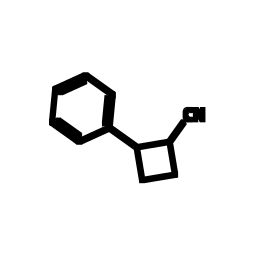 N#CC1CCC1c1ccccc1